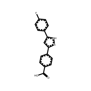 O=C(O)c1ccc(-c2cc(-c3ccc(F)cc3)[nH]n2)cc1